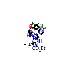 CCOC(=O)n1nc(Nc2cc(N3CCN(CC)CC3)nc(N[C@H]3CCN(C(=O)c4ccc(Cl)cc4F)C3)n2)cc1C